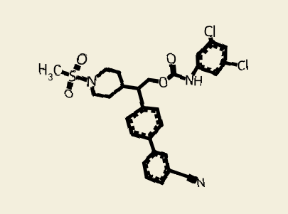 CS(=O)(=O)N1CCC(C(COC(=O)Nc2cc(Cl)cc(Cl)c2)c2ccc(-c3cccc(C#N)c3)cc2)CC1